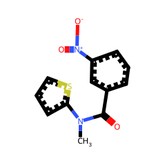 CN(C(=O)c1cccc([N+](=O)[O-])c1)c1cccs1